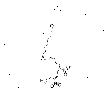 CC/C(=C\C/C(=C\C/C=C\C/C=C\CCCCCC[C]=O)[N+](=O)[O-])[N+](=O)[O-]